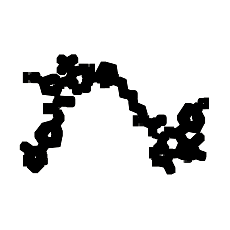 Cc1ncsc1-c1ccc(CNC(=O)[C@@H]2C[C@@H](O)CN2C(=O)C(NC(=O)c2ccn(CCOCCNC(=O)C[C@@H]3N=C(c4ccc(Cl)cc4)c4c(sc(C)c4C)-n4c(C)nnc43)n2)C(C)(C)C)cc1